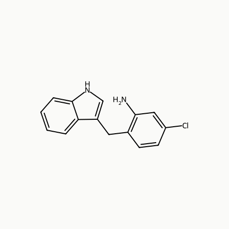 Nc1cc(Cl)ccc1Cc1c[nH]c2ccccc12